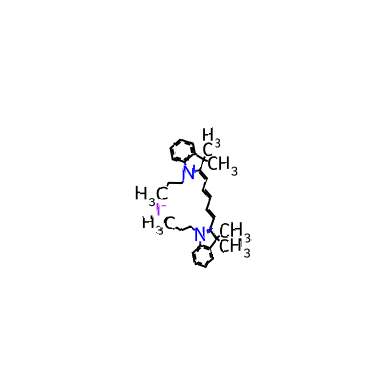 CCCN1C(=CC=CC=CC2=[N+](CCC)c3ccccc3C2(C)C)C(C)(C)c2ccccc21.[I-]